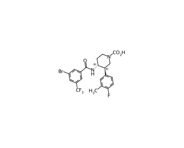 Cc1cc([C@@H]2CN(C(=O)O)CC[C@H]2NC(=O)c2cc(Br)cc(C(F)(F)F)c2)ccc1F